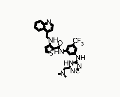 CN(C)CCN/C(=N\C#N)Nc1cc(NC(=O)c2sccc2NCc2ccnc3ccccc23)cc(C(F)(F)F)c1